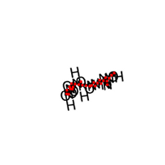 O=C(CNc1ccc2c(c1)C(=O)N(C1CCC(=O)NC1=O)C2=O)NCCCC(=O)N1CCN(c2ccc(-c3ncc(NCc4ccco4)n4cnnc34)cc2)CC1